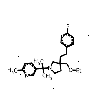 CCOCC1(CCc2ccc(F)cc2)CCN(C(C)(C)c2ccc(C)nc2)C1